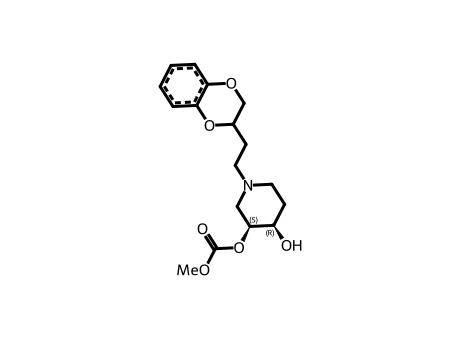 COC(=O)O[C@H]1CN(CCC2COc3ccccc3O2)CC[C@H]1O